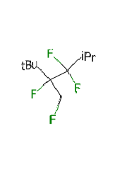 CC(C)C(F)(F)C(F)(CF)C(C)(C)C